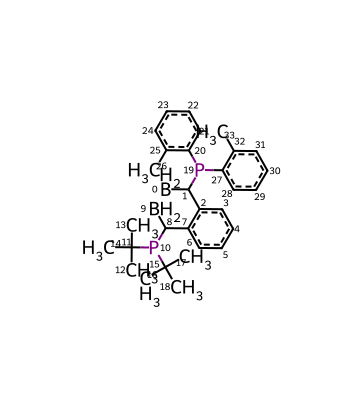 BC(c1ccccc1C(B)P(C(C)(C)C)C(C)(C)C)P(c1ccccc1C)c1ccccc1C